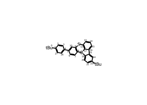 CC(C)(C)c1ccc(-c2ccc3c(c2)Sc2cccc4c2B3c2ccc(C(C)(C)C)cc2-4)cc1